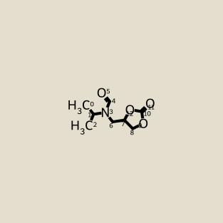 CC(C)N(C=O)CC1COC(=O)O1